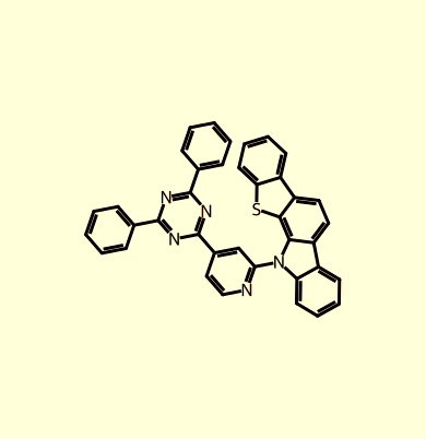 c1ccc(-c2nc(-c3ccccc3)nc(-c3ccnc(-n4c5ccccc5c5ccc6c7ccccc7sc6c54)c3)n2)cc1